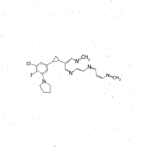 C=N/C=C\C=N/CC/N=C\C(=C/N=C)C1CC1c1cc(Cl)c(F)c(N2CCCC2)c1